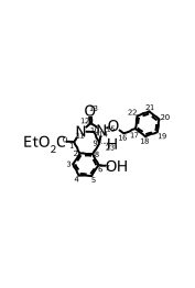 CCOC(=O)C1c2cccc(O)c2[C@H]2CN1C(=O)N2OCc1ccccc1